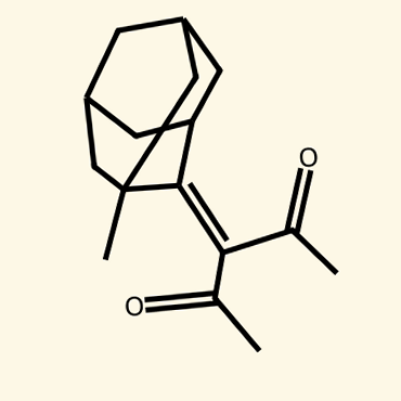 CC(=O)C(C(C)=O)=C1C2CC3CC(C2)CC1(C)C3